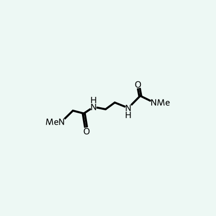 CNCC(=O)NCCNC(=O)NC